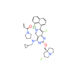 C=CC(=O)N1CC[C@@H](N(CC2CC2)c2nc(OC[C@@]34CCCN3C[C@H](F)C4)nc3c(F)c(-c4cccc5cccc(Cl)c45)ncc23)C1